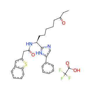 CCC(=O)CCCCC[C@H](NC(=O)Cc1cc2ccccc2s1)c1ncc(-c2ccccc2)[nH]1.O=C(O)C(F)(F)F